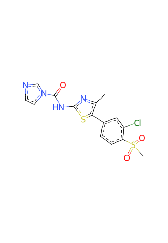 Cc1nc(NC(=O)n2ccnc2)sc1-c1ccc(S(C)(=O)=O)c(Cl)c1